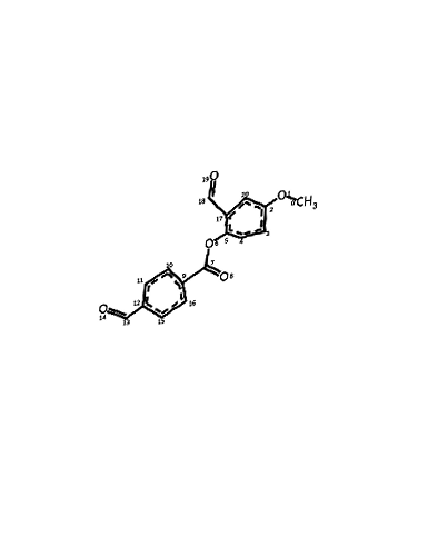 COc1ccc(OC(=O)c2ccc(C=O)cc2)c(C=O)c1